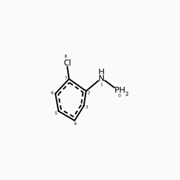 PNc1ccccc1Cl